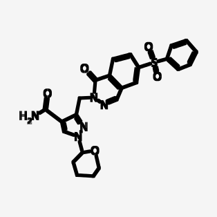 NC(=O)c1cn(C2CCCCO2)nc1Cn1ncc2cc(S(=O)(=O)c3ccccc3)ccc2c1=O